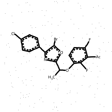 CC(=O)c1c(F)ccc(OC(C)c2nc(-c3ccc(Cl)cc3)c(Br)o2)c1F